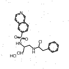 CC(CNC(Cl)Cc1ccccc1)NS(=O)(=O)c1ccc2cnccc2c1.Cl.Cl